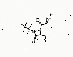 CC[C@H]1C(=O)N([Si](C)(C)C(C)(C)C)[C@H]1C(=O)C=[N+]=[N-]